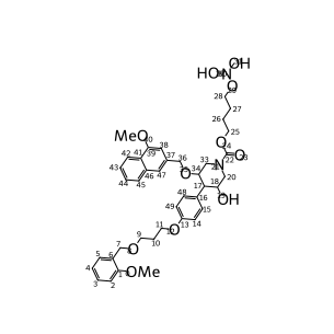 COc1ccccc1COCCCOc1ccc(C2C(O)CN(C(=O)OCCCCON(O)O)CC2OCc2cc(OC)c3ccccc3c2)cc1